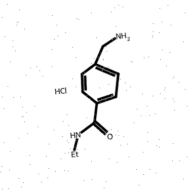 CCNC(=O)c1ccc(CN)cc1.Cl